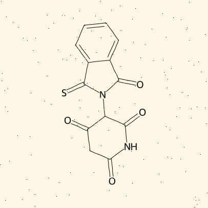 O=C1CC(=O)C(N2C(=O)c3ccccc3C2=S)C(=O)N1